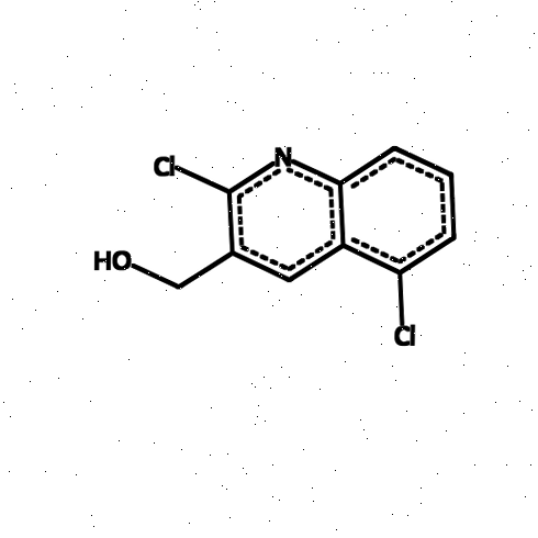 OCc1cc2c(Cl)cccc2nc1Cl